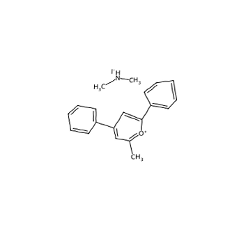 CNC.Cc1cc(-c2ccccc2)cc(-c2ccccc2)[o+]1.[I-]